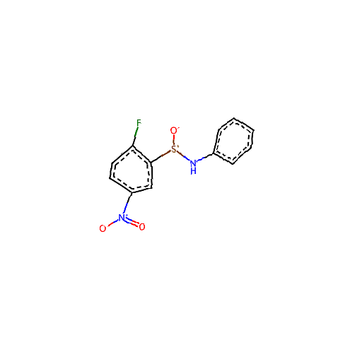 O=[N+]([O-])c1ccc(F)c([S+]([O-])Nc2ccccc2)c1